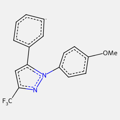 COc1ccc(-n2nc(C(F)(F)F)cc2-c2c[c]ccc2)cc1